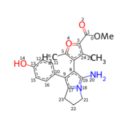 COC(=O)c1oc(C)c(-c2c(-c3ccc(O)cc3)c3n(c2N)CCC3)c1C